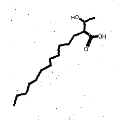 CCCCCCCCCCCCC(C(=O)O)C(C)O